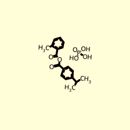 Cc1ccccc1C(=O)OC(=O)c1ccc(C(C)C)cc1.O=P(O)(O)O